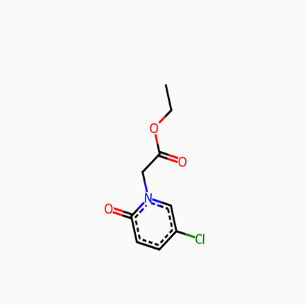 CCOC(=O)Cn1cc(Cl)ccc1=O